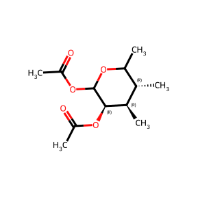 CC(=O)OC1OC(C)[C@H](C)[C@@H](C)[C@H]1OC(C)=O